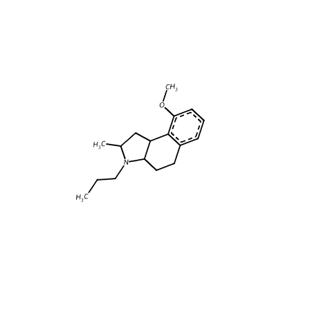 CCCN1C(C)CC2c3c(cccc3OC)CCC21